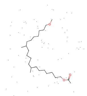 COCCCCCCCC(C)CCCCC(C)CCCCCCCOC(C)=O